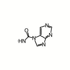 [NH]C(=O)n1cnc2ncncc21